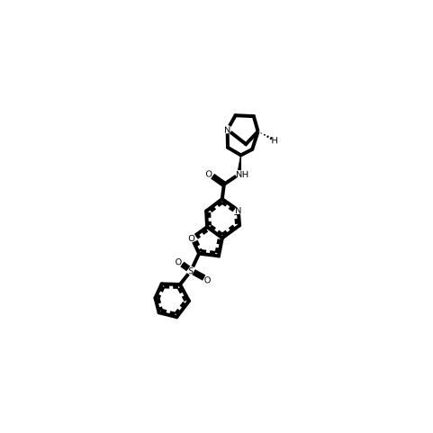 O=C(N[C@@H]1C[C@@H]2CCN(C2)C1)c1cc2oc(S(=O)(=O)c3ccccc3)cc2cn1